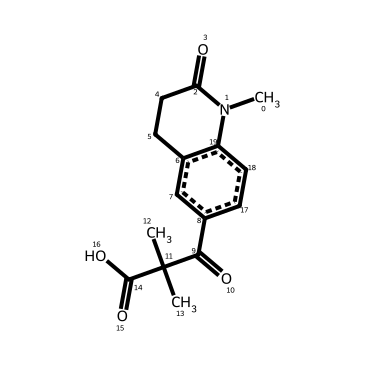 CN1C(=O)CCc2cc(C(=O)C(C)(C)C(=O)O)ccc21